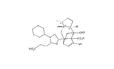 CCOC(=O)CCC1OC(C23C[C@@H]4[C@H](C)CC[C@H]4C4(C=O)CC2C=C(C(C)C)C34C(=O)O)CC1C1CCCCC1